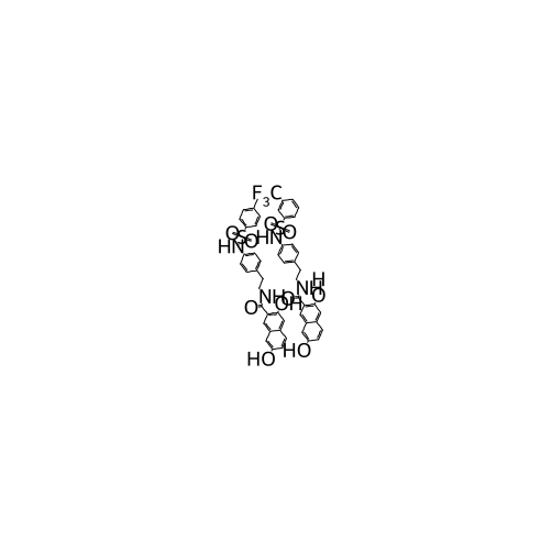 Cc1ccc(S(=O)(=O)Nc2ccc(CCNC(=O)c3cc4cc(O)ccc4cc3O)cc2)cc1.O=C(NCCc1ccc(NS(=O)(=O)c2cccc(C(F)(F)F)c2)cc1)c1cc2cc(O)ccc2cc1O